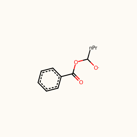 CCCC([O])OC(=O)c1ccccc1